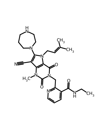 CCNC(=O)c1cccnc1Cn1c(=O)c2c(c(C#N)c(N3CCCNCC3)n2CC=C(C)C)n(C)c1=O